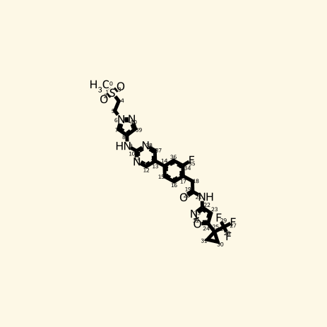 CS(=O)(=O)CCn1cc(Nc2ncc(-c3ccc(CC(=O)Nc4cc(C5(C(F)(F)F)CC5)on4)c(F)c3)cn2)cn1